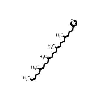 C/C=C\CC/C(C)=C/CC/C(C)=C/CC/C(C)=C/CC/C(C)=C/CCc1ccoc1